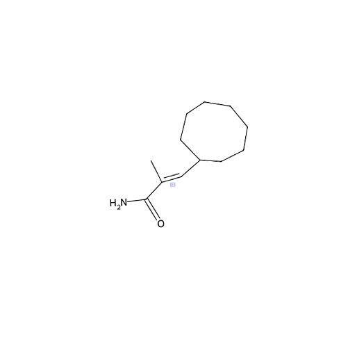 C/C(=C\C1CCCCCCC1)C(N)=O